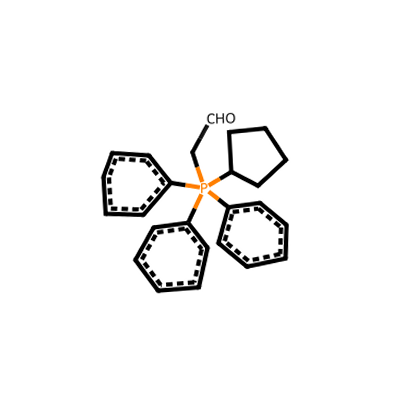 O=CCP(c1ccccc1)(c1ccccc1)(c1ccccc1)C1CCCC1